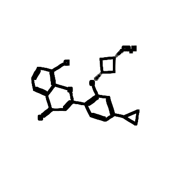 O=c1cc(-c2ccc(C3CC3)cc2O[C@H]2C[C@@H](C(=O)O)C2)oc2c(Cl)cccc12